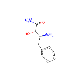 NC(=O)C(O)[C@@H](N)Cc1ccccc1